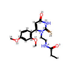 CCC(=O)NCCn1c(-c2ccc(OC)cc2OC)cc(=O)[nH]c1=S